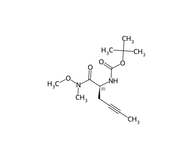 CC#CC[C@H](NC(=O)OC(C)(C)C)C(=O)N(C)OC